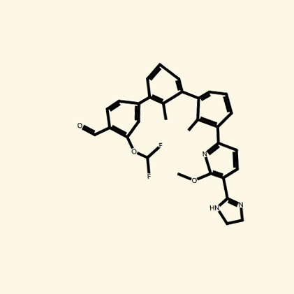 COc1nc(-c2cccc(-c3cccc(-c4ccc(C=O)c(OC(F)F)c4)c3C)c2C)ccc1C1=NCCN1